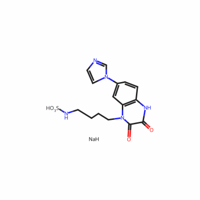 O=c1[nH]c2ccc(-n3ccnc3)cc2n(CCCCNS(=O)(=O)O)c1=O.[NaH]